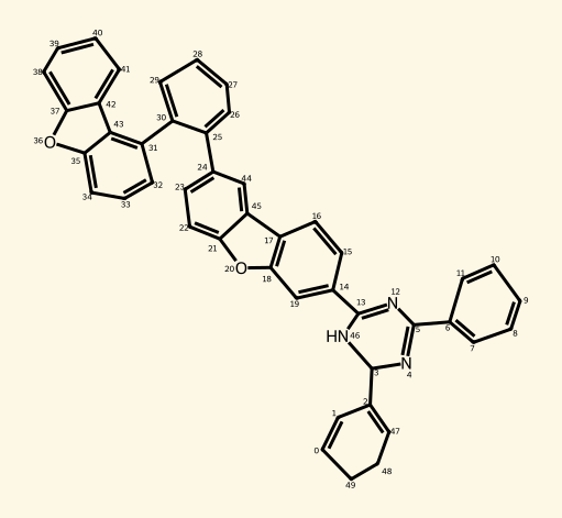 C1=CC(C2N=C(c3ccccc3)N=C(c3ccc4c(c3)oc3ccc(-c5ccccc5-c5cccc6oc7ccccc7c56)cc34)N2)=CCC1